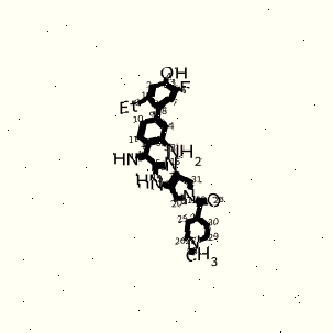 CCc1cc(O)c(F)cc1-c1ccc(C(=N)c2nc3c([nH]2)CN(C(=O)C2CCN(C)CC2)C3)c(N)c1